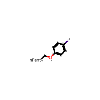 CCC[CH]CCOc1ccc(I)cc1